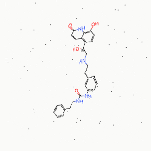 O=C(NCCc1ccccc1)Nc1cccc(CCNC[C@H](O)c2ccc(O)c3[nH]c(=O)ccc23)c1